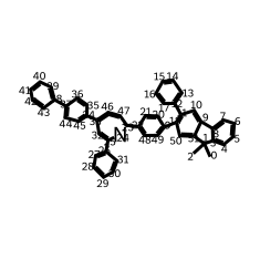 CC1(C)c2ccccc2-c2cc(-c3ccccc3)c(-c3ccc(C4=NC(c5ccccc5)=CC(c5ccc(-c6ccccc6)cc5)=C=C4)cc3)cc21